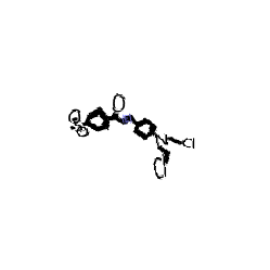 CS(=O)(=O)c1ccc(C(=O)/C=C/c2ccc(N(CCCl)CCCl)cc2)cc1